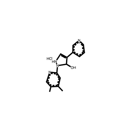 Cc1cnc(N2NC=C(c3cccnc3)C2O)cc1C.Cl